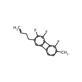 C=CCCc1cc2c(c(F)c1F)-c1c-2ccc(C)c1F